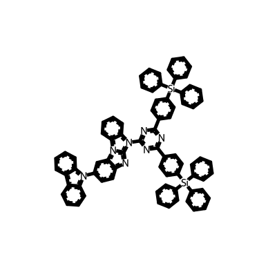 c1ccc([Si](c2ccccc2)(c2ccccc2)c2ccc(-c3nc(-c4ccc([Si](c5ccccc5)(c5ccccc5)c5ccccc5)cc4)nc(-n4c5ccccc5n5c6cc(-n7c8ccccc8c8ccccc87)ccc6nc45)n3)cc2)cc1